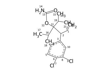 C=CC(c1ccc(Cl)c(Cl)c1)C(OC(N)=O)(C(C)C)C(C)C